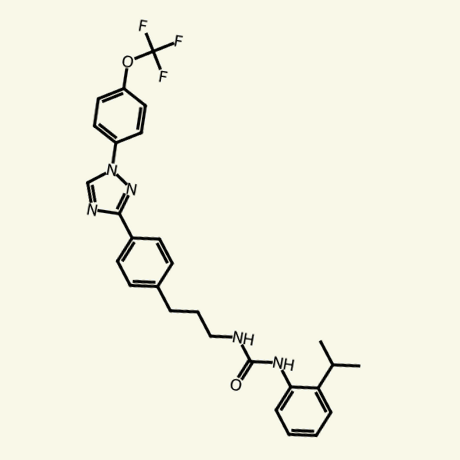 CC(C)c1ccccc1NC(=O)NCCCc1ccc(-c2ncn(-c3ccc(OC(F)(F)F)cc3)n2)cc1